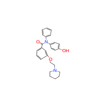 O=C(c1cccc(OCCN2CCCCC2)c1)N(c1ccccc1)c1ccc(O)cc1